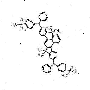 CC(C)(C)c1ccc(N(c2ccccc2)c2ccc3c(c2)C(C)(C)c2cc4c5c(cccc5c2-3)C(C)(C)c2cc(N(c3ccc(C(C)(C)C)cc3)C3C=CC=CC3)ccc2-4)cc1